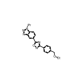 CCOCc1ccc(-c2noc(-c3ccc4c(c3)nnn4C(C)C)n2)cc1